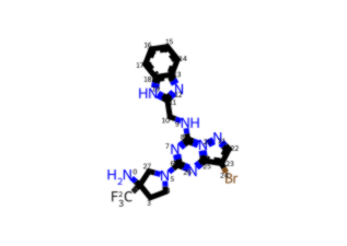 NC1(C(F)(F)F)CCN(c2nc(NCc3nc4ccccc4[nH]3)n3ncc(Br)c3n2)C1